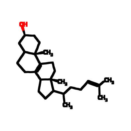 CC(C)=CCCC(C)C1CCC2C3=C(CC[C@@]21C)[C@@]1(C)CC[C@H](O)CC1CC3